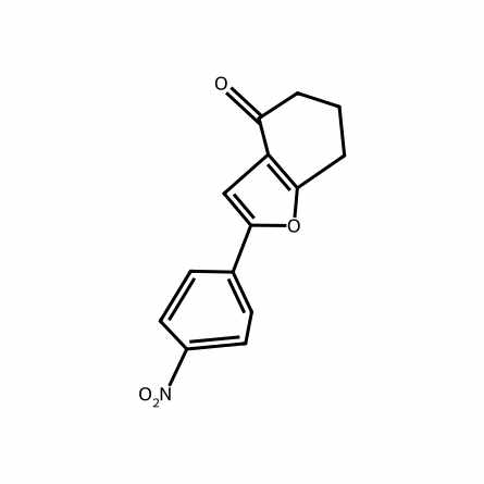 O=C1CCCc2oc(-c3ccc([N+](=O)[O-])cc3)cc21